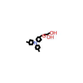 Cc1ccc(N(c2ccc(C)cc2)c2ccc(COCC(O)CO)cc2)cc1